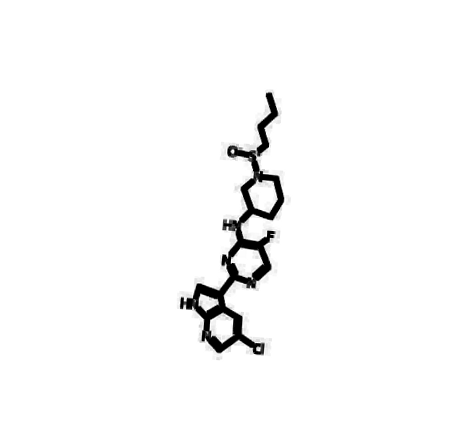 CCCC[S+]([O-])N1CCCC(Nc2nc(-c3c[nH]c4ncc(Cl)cc34)ncc2F)C1